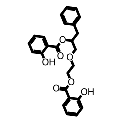 O=C(OCCOCC(Cc1ccccc1)OC(=O)c1ccccc1O)c1ccccc1O